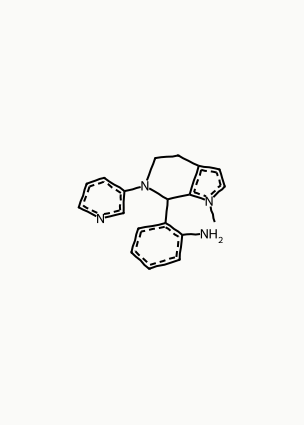 Cn1ccc2c1C(c1ccccc1N)N(c1cccnc1)CC2